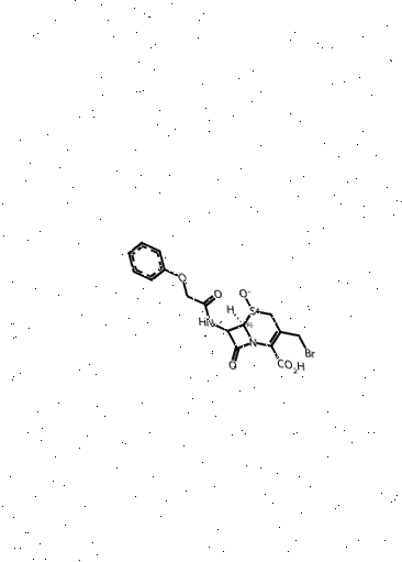 O=C(COc1ccccc1)NC1C(=O)N2C(C(=O)O)=C(CBr)C[S+]([O-])[C@H]12